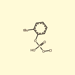 CC(C)(C)c1ccccc1OP(=O)(O)OCl